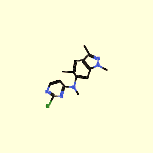 Cc1cc2c(C)nn(C)c2cc1N(C)c1ccnc(Cl)n1